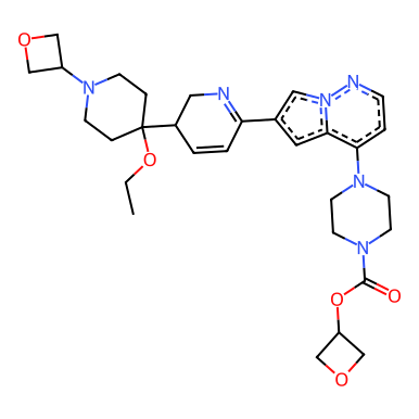 CCOC1(C2C=CC(c3cc4c(N5CCN(C(=O)OC6COC6)CC5)ccnn4c3)=NC2)CCN(C2COC2)CC1